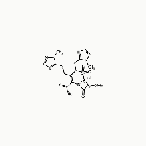 CO[C@H]1C(=O)N2C(C(=O)C(C)(C)C)=C(CSc3nnnn3C)C(Sc3nnnn3C)S(=O)(=O)[C@@H]12